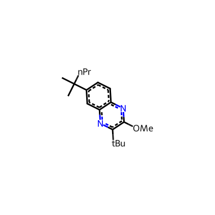 CCCC(C)(C)c1ccc2nc(OC)c(C(C)(C)C)nc2c1